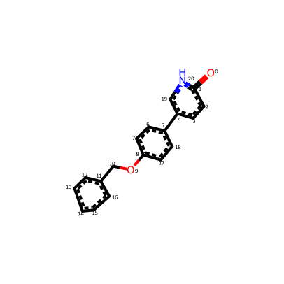 O=c1ccc(-c2ccc(OCc3ccccc3)cc2)c[nH]1